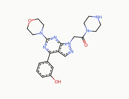 O=C(Cn1ncc2c(-c3cccc(O)c3)nc(N3CCOCC3)nc21)N1CCNCC1